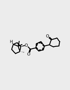 CC1(C)[C@H]2CC[C@]1(C)[C@H](OC(=O)c1ccc(C3CCCCC3=O)cc1)C2